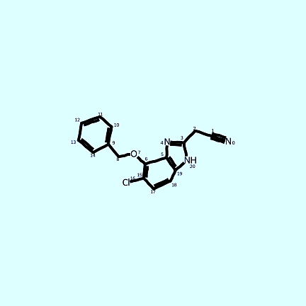 N#CCc1nc2c(OCc3ccccc3)c(Cl)ccc2[nH]1